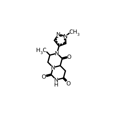 CC1CN2C(=O)NC(=O)CC2C(=O)N1c1cnn(C)c1